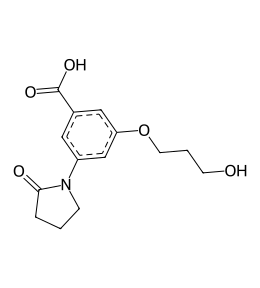 O=C(O)c1cc(OCCCO)cc(N2CCCC2=O)c1